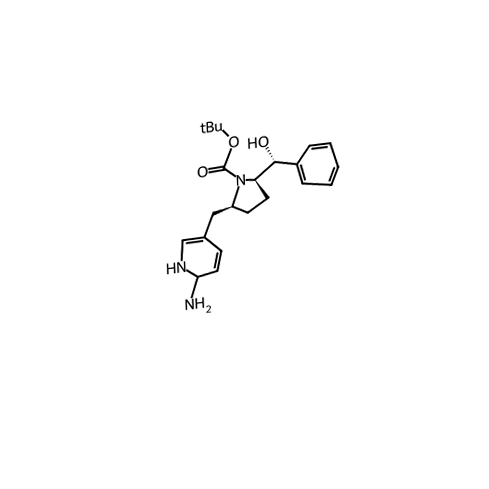 CC(C)(C)OC(=O)N1[C@H](CC2=CNC(N)C=C2)CC[C@@H]1[C@H](O)c1ccccc1